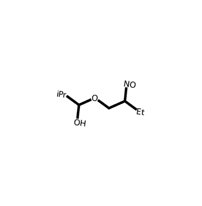 CCC(COC(O)C(C)C)N=O